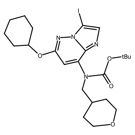 CC(C)(C)OC(=O)N(CC1CCOCC1)c1cc(OC2CCCCC2)nn2c(I)cnc12